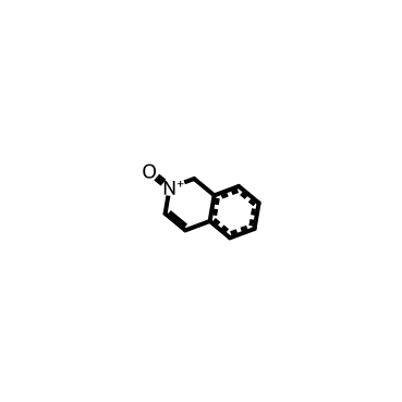 O=[N+]1C=Cc2ccccc2C1